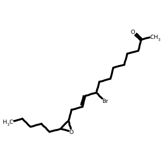 CCCCCC1OC1CC=CC(Br)CCCCCCC(C)=O